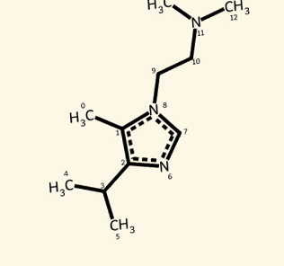 Cc1c(C(C)C)n[c]n1CCN(C)C